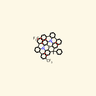 CC1(c2ccccc2)c2cccc3c2B2c4c(cccc4N(c4c(-c5ccccc5)cccc4-c4ccc(C(F)(F)F)cc4)c4cccc1c42)N3c1c(-c2ccccc2)cccc1-c1ccc(C(F)(F)F)cc1